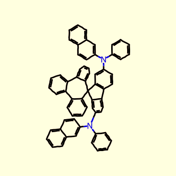 c1ccc(N(c2ccc3c(c2)C2(c4ccccc4-c4ccccc4-c4ccccc42)c2cc(N(c4ccccc4)c4ccc5ccccc5c4)ccc2-3)c2ccc3ccccc3c2)cc1